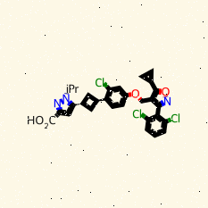 CC(C)n1nc(C(=O)O)cc1[C@H]1C[C@H](c2ccc(OCc3c(-c4c(Cl)cccc4Cl)noc3C3CC3)cc2Cl)C1